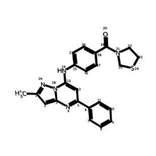 Cc1cc2nc(-c3ccccc3)cc(Nc3ccc(C(=O)N4CCSC4)cc3)n2n1